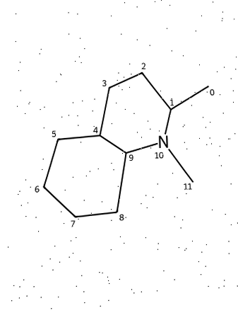 CC1CCC2CCCCC2N1C